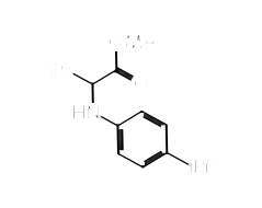 COC(=O)C(Nc1ccc(C(C)C)cc1)C(C)C